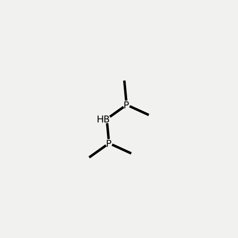 CP(C)BP(C)C